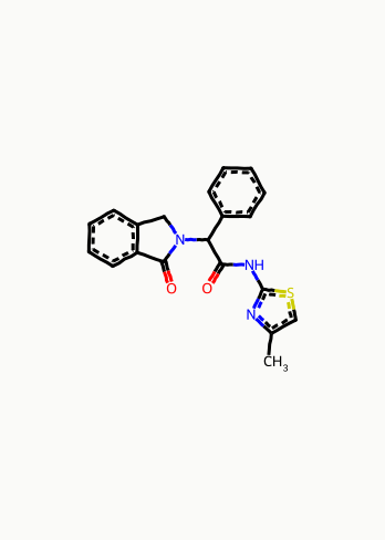 Cc1csc(NC(=O)C(c2ccccc2)N2Cc3ccccc3C2=O)n1